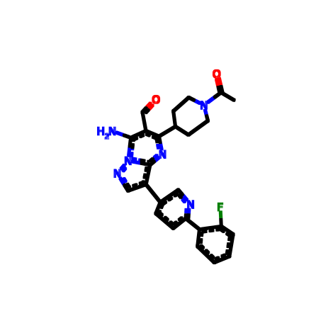 CC(=O)N1CCC(c2nc3c(-c4ccc(-c5ccccc5F)nc4)cnn3c(N)c2C=O)CC1